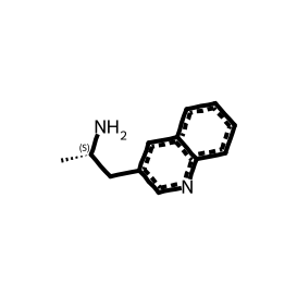 C[C@H](N)Cc1cnc2ccccc2c1